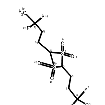 O=S1(=O)C(CCC(F)(F)C(F)(F)F)S(=O)(=O)C1CCC(F)(F)C(F)(F)F